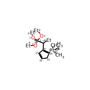 CCO[Si](OCC)(OCC)C(CC)C1=[C]([Pt]([CH3])([CH3])[CH3])CC=C1